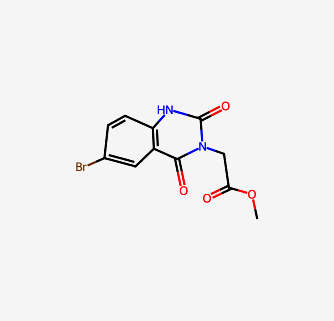 COC(=O)Cn1c(=O)[nH]c2ccc(Br)cc2c1=O